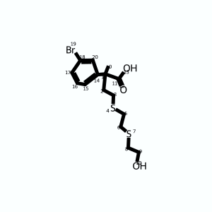 CC(CCSCCSCCO)(C(=O)O)c1cccc(Br)c1